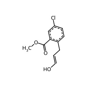 COC(=O)c1cc(Cl)ccc1CC=CO